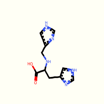 O=C(O)C(Cc1c[nH]cn1)NCc1c[nH]cn1